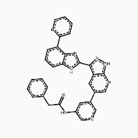 O=C(Cc1ccccc1)Nc1cncc(-c2cnc3[nH]nc(-c4nc5c(-c6ccccn6)cccc5[nH]4)c3c2)c1